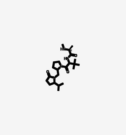 CN[C@@H](C)C(=O)NC(C(=O)N1CCCC1CN1C(=O)CCC1C(C)C)C(C)(C)C